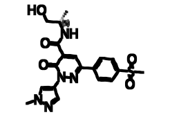 C[C@@H](CO)NC(=O)c1cc(-c2ccc(S(C)(=O)=O)cc2)nn(-c2cnn(C)c2)c1=O